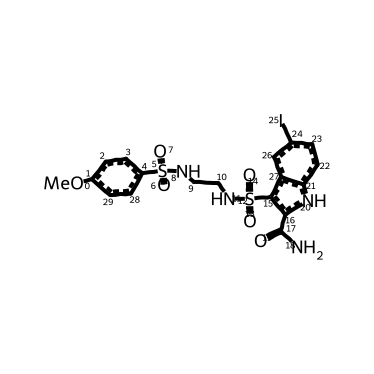 COc1ccc(S(=O)(=O)NCCNS(=O)(=O)c2c(C(N)=O)[nH]c3ccc(I)cc23)cc1